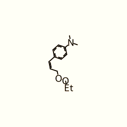 CCOOC/C=C\c1ccc(N(C)C)cc1